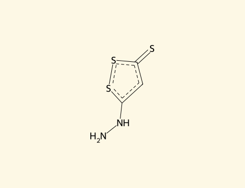 NNc1cc(=S)ss1